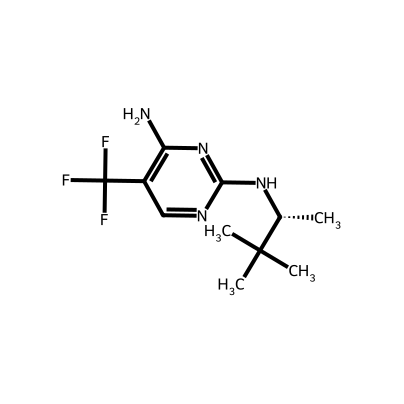 C[C@@H](Nc1ncc(C(F)(F)F)c(N)n1)C(C)(C)C